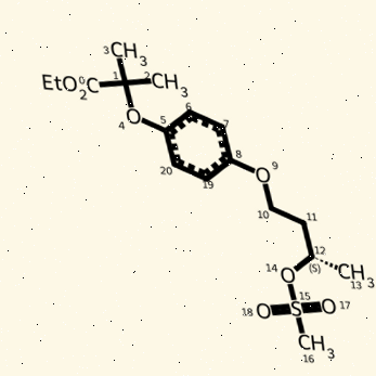 CCOC(=O)C(C)(C)Oc1ccc(OCC[C@H](C)OS(C)(=O)=O)cc1